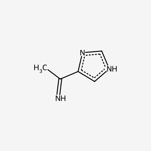 CC(=N)c1c[nH]cn1